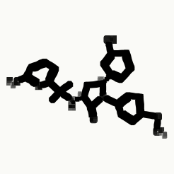 CC(C)(N[C@@H]1C[C@H](c2cccc(O)c2)N(c2ccc(OC(F)(F)F)cc2)C1=O)c1cccc(C(F)(F)F)n1